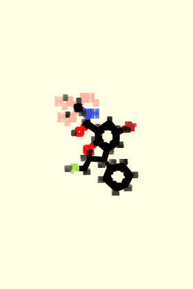 BC(B)(B)NC(=O)c1cc(Br)cc2c1O[C@H](CF)[C@H]2c1ccccc1